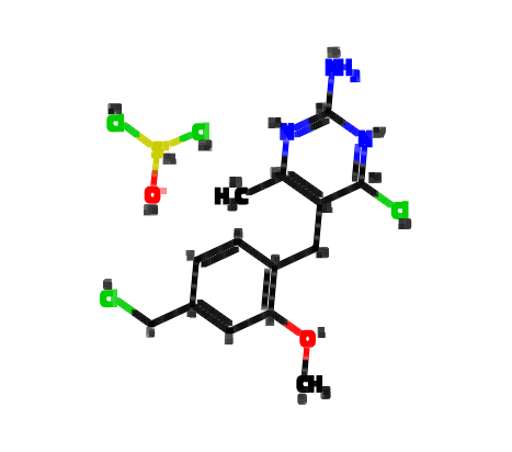 COc1cc(CCl)ccc1Cc1c(C)nc(N)nc1Cl.[O-][S+](Cl)Cl